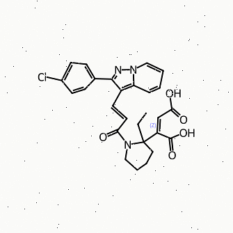 CCC1(/C(=C/C(=O)O)C(=O)O)CCCCN1C(=O)C=Cc1c(-c2ccc(Cl)cc2)nn2ccccc12